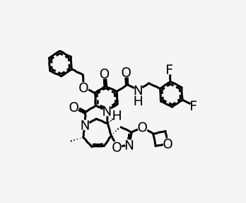 C[C@H]1C=C[C@@]2(CC(OC3COC3)=NO2)[C@H]2CN1C(=O)c1c(OCc3ccccc3)c(=O)c(C(=O)NCc3ccc(F)cc3F)cn12